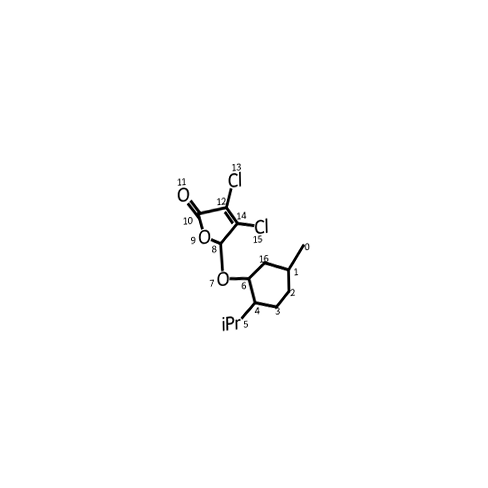 CC1CCC(C(C)C)C(OC2OC(=O)C(Cl)=C2Cl)C1